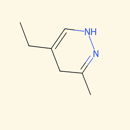 CCC1=CNN=C(C)C1